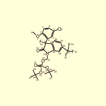 COc1ccc(Cl)cc1C1(F)C(=O)N(COP(=O)(OC(C)(C)C)OC(C)(C)C)c2cc(C(F)(F)F)ccc21